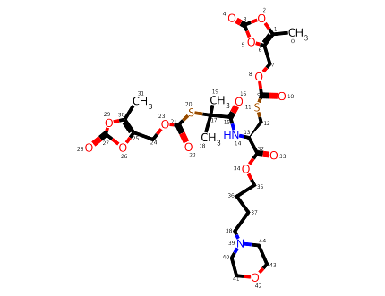 Cc1oc(=O)oc1COC(=O)SC[C@H](NC(=O)C(C)(C)SC(=O)OCc1oc(=O)oc1C)C(=O)OCCCCN1CCOCC1